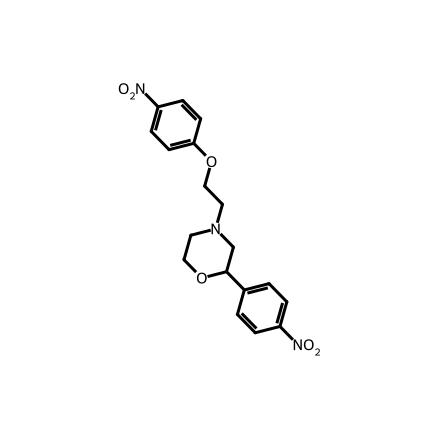 O=[N+]([O-])c1ccc(OCCN2CCOC(c3ccc([N+](=O)[O-])cc3)C2)cc1